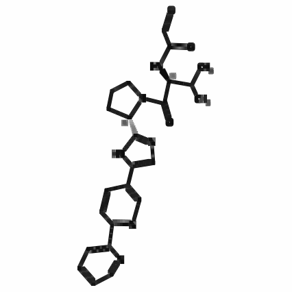 CC(C)[C@H](NC(=O)C=O)C(=O)N1CCC[C@H]1c1ncc(-c2ccc(-c3ccccn3)nc2)[nH]1